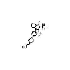 NC(=O)c1cn(-c2ccc(N3CCN(CCO)CC3)cc2C(F)(F)F)c2ccccc2c1=O